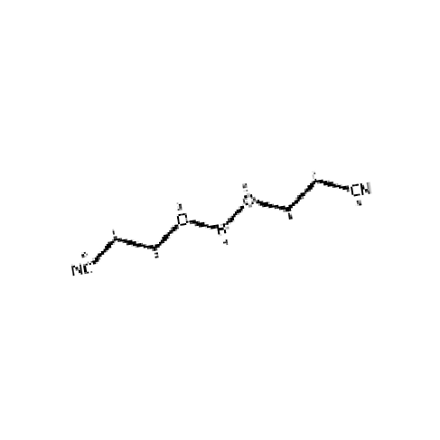 N#CCCO[B]OCCC#N